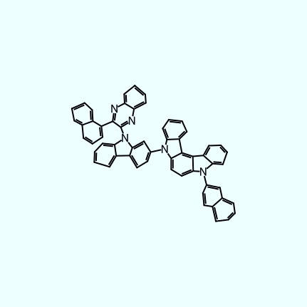 c1ccc2cc(-n3c4ccccc4c4c5c6ccccc6n(-c6ccc7c8ccccc8n(-c8nc9ccccc9nc8-c8cccc9ccccc89)c7c6)c5ccc43)ccc2c1